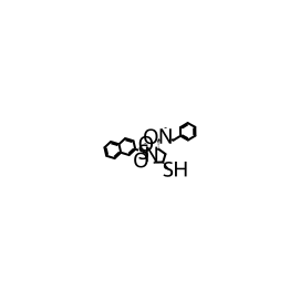 CN(Cc1ccccc1)C(=O)[C@@H]1C[C@@H](S)CN1S(=O)(=O)c1ccc2ccccc2c1